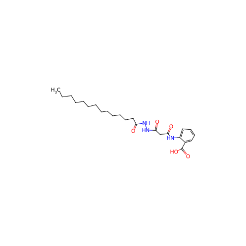 CCCCCCCCCCCCCC(=O)NNC(=O)CC(=O)Nc1ccccc1C(=O)O